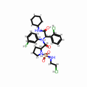 O=C(NC1CCCCC1)[C@@H](c1ccccc1Cl)N(C(=O)C1CCCN1S(=O)(=O)NCCCl)c1cccc(F)c1